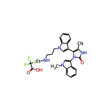 CCNCCCn1cc(-c2c(C#N)[nH]c(=O)n2-c2cn(C)c3ccccc23)c2ccccc21.O=C(O)C(F)(F)F